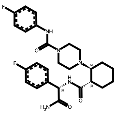 NC(=O)[C@@H](NC(=O)[C@H]1CCCC[C@@H]1N1CCN(C(=O)Nc2ccc(F)cc2)CC1)c1ccc(F)cc1